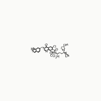 N#C/N=C(\CC[C@H](NC(=O)c1c(Cl)cc2c(=O)n(Cc3ccc4cn[nH]c4c3)cnc2c1Cl)C(=O)O)N1CC[C@H](O)C1